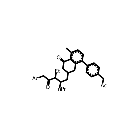 CCCC(CC1CC(=O)c2c(C)ccc(-c3ccc(CC(C)=O)cc3)c2C1)C(CC)C(=O)CC(C)=O